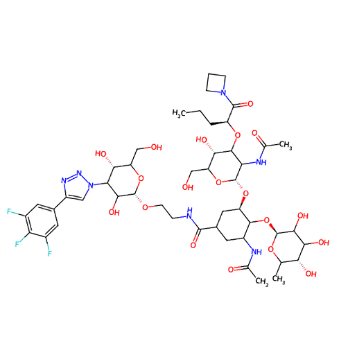 CCC[C@H](OC1C(NC(C)=O)[C@H](O[C@@H]2CC(C(=O)NCCO[C@H]3OC(CO)[C@@H](O)C(n4cc(-c5cc(F)c(F)c(F)c5)nn4)C3O)CC(NC(C)=O)C2O[C@@H]2OC(C)[C@@H](O)C(O)C2O)OC(CO)[C@@H]1O)C(=O)N1CCC1